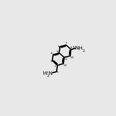 NCc1ccc2ccc(N)cc2c1